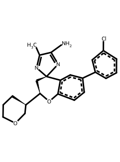 CC1=N[C@]2(C[C@H]([C@@H]3CCCOC3)Oc3ccc(-c4cccc(Cl)c4)cc32)N=C1N